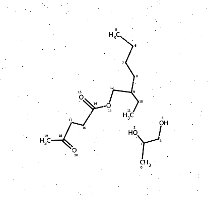 CC(O)CO.CCCCC(CC)COC(=O)CCC(C)=O